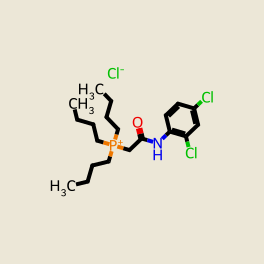 CCCC[P+](CCCC)(CCCC)CC(=O)Nc1ccc(Cl)cc1Cl.[Cl-]